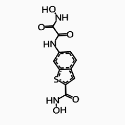 O=C(NO)C(=O)Nc1ccc2cc(C(=O)NO)sc2c1